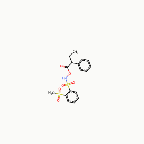 CCC(C(=O)ONS(=O)(=O)c1ccccc1S(C)(=O)=O)c1ccccc1